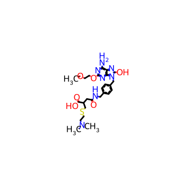 COCCOc1nc(N)c2nc(O)n(Cc3ccc(CNC(=O)CC(CSCCN(C)C)C(=O)O)cc3)c2n1